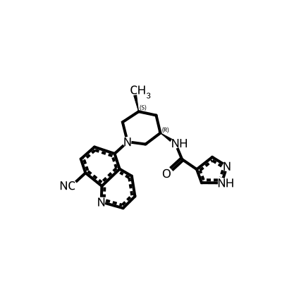 C[C@H]1C[C@@H](NC(=O)c2cn[nH]c2)CN(c2ccc(C#N)c3ncccc23)C1